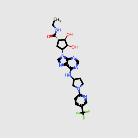 CCNC(=O)[C@H]1C[C@@H](n2cnc3c(NC4CCN(c5ccc(C(F)(F)F)cn5)C4)ncnc32)[C@H](O)[C@@H]1O